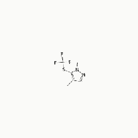 Cc1[c]nn(C)c1SC(F)(F)F